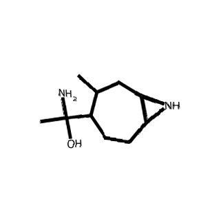 CC1CC2NC2CCC1C(C)(N)O